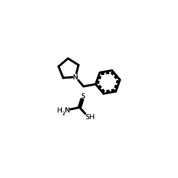 NC(=S)S.c1ccc(CN2CCCC2)cc1